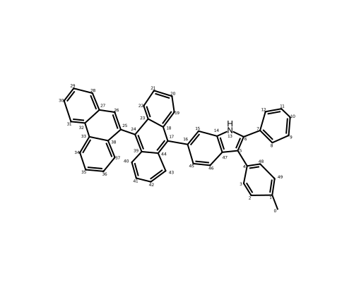 Cc1ccc(-c2c(-c3ccccc3)[nH]c3cc(-c4c5ccccc5c(-c5cc6ccccc6c6ccccc56)c5ccccc45)ccc23)cc1